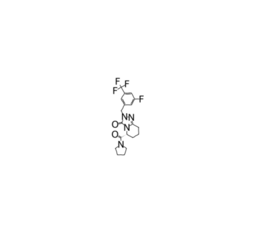 O=C([C@H]1CCCc2nn(Cc3cc(F)cc(C(F)(F)F)c3)c(=O)n21)N1CCCC1